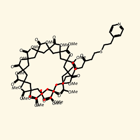 COC(=O)C(C)(C)CC(C)(CC(C)(CC(C)(CC(C)(CC(C)(CC(C)(CC(C)(CC(C)(CC(C)(CC(C)(CC(C)(CC(C)(CC(C)(CSCCC(=O)CC(=O)CCSCCc1ccncc1)C(=O)OC)C(=O)OC)C(=O)OC)C(=O)OC)C(=O)OC)C(=O)OC)C(=O)OC)C(=O)OC)C(=O)OC)C(=O)OC)C(=O)OC)C(=O)OC)C(=O)OC